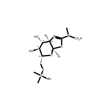 CN(C(=O)O)C1=N[C@@H]2[C@@H](O)[C@H](O)[C@@H](CO[Si](C)(C)C(C)(C)C)O[C@@H]2S1